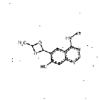 CC(C)Nc1ncnc2cc(O)c(C3OC(C)O3)cc12